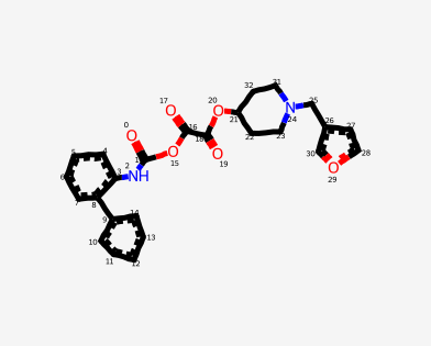 O=C(Nc1ccccc1-c1ccccc1)OC(=O)C(=O)OC1CCN(Cc2ccoc2)CC1